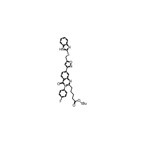 CC(C)(C)OC(=O)CCCCc1nc2cc(-c3cc(CSc4nc5ccccc5[nH]4)on3)ccc2c(=O)n1-c1ccc(F)cc1